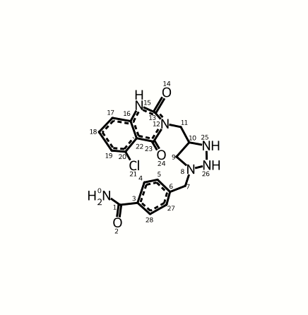 NC(=O)c1ccc(CN2CC(Cn3c(=O)[nH]c4cccc(Cl)c4c3=O)NN2)cc1